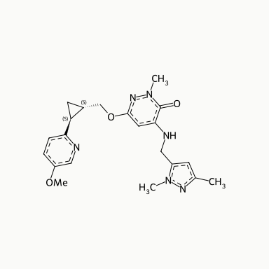 COc1ccc([C@H]2C[C@@H]2COc2cc(NCc3cc(C)nn3C)c(=O)n(C)n2)nc1